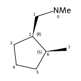 CNC[C@@H]1CCC[C@@H]1C